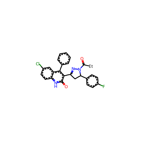 CCC(=O)N1N=C(c2c(-c3ccccc3)c3cc(Cl)ccc3[nH]c2=O)CC1c1ccc(F)cc1